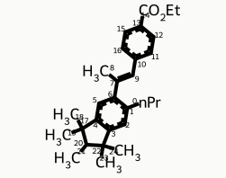 CCCc1cc2c(cc1C(C)=Cc1ccc(C(=O)OCC)cc1)C(C)(C)C(C)C2(C)C